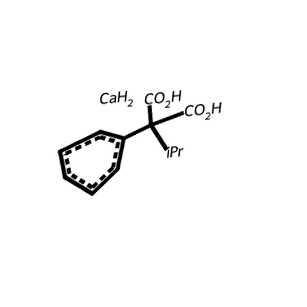 CC(C)C(C(=O)O)(C(=O)O)c1ccccc1.[CaH2]